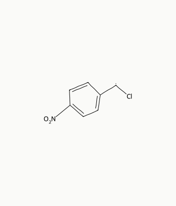 O=[N+]([O-])c1ccc([CH]Cl)cc1